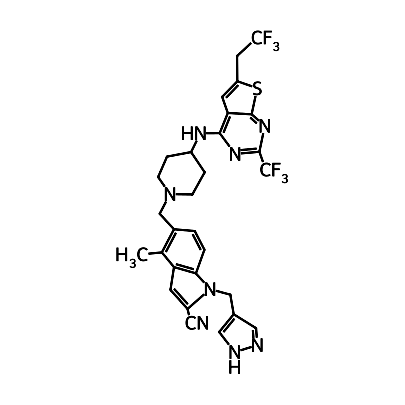 Cc1c(CN2CCC(Nc3nc(C(F)(F)F)nc4sc(CC(F)(F)F)cc34)CC2)ccc2c1cc(C#N)n2Cc1cn[nH]c1